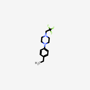 CCc1ccc(N2CCN(CC(F)(F)F)CC2)cc1